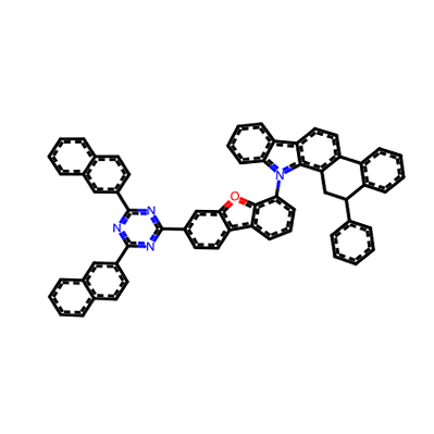 c1ccc(C2Cc3c(ccc4c5ccccc5n(-c5cccc6c5oc5cc(-c7nc(-c8ccc9ccccc9c8)nc(-c8ccc9ccccc9c8)n7)ccc56)c34)-c3ccccc32)cc1